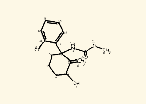 C=C1C(O)CCCC1(NC(=O)OC)c1ccccc1Cl